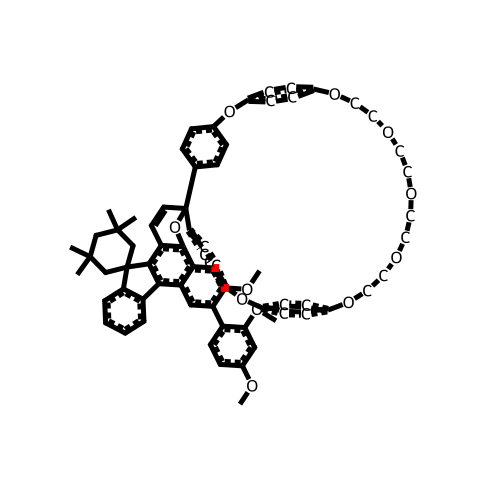 COc1ccc(-c2cc3c4c(c5c(c3cc2OC)OC2(C=C5)c3ccc(cc3)Oc3ccc(cc3)OCCOCCOCCOCCOc3ccc(cc3)Oc3ccc2cc3)C2(CC(C)(C)CC(C)(C)C2)c2ccccc2-4)c(OC)c1